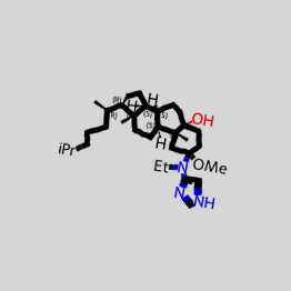 CCN(c1c[nH]cn1)C1(OC)CC[C@]2(O)CC[C@H]3[C@@H]4CC[C@H]([C@H](C)CCCC(C)C)[C@@]4(C)CC[C@@H]3[C@@]2(C)C1